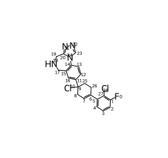 Fc1cccc(C2=CCC(Cl)(c3ccc4c(c3)CNCc3nncn3-4)CC2)c1Cl